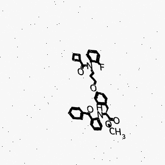 COC(=O)[C@H](Cc1ccc(OCCCN(C(=O)C2CCC2)c2ccccc2F)cc1)Nc1ccccc1C(=O)c1ccccc1